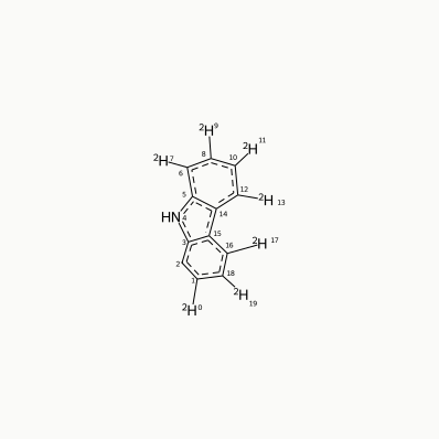 [2H]c1cc2[nH]c3c([2H])c([2H])c([2H])c([2H])c3c2c([2H])c1[2H]